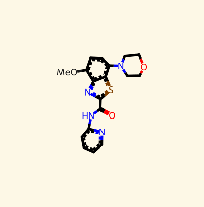 COc1ccc(N2CCOCC2)c2sc(C(=O)Nc3ccccn3)nc12